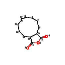 O=C1OC(=O)C2CCCCCCCCC12